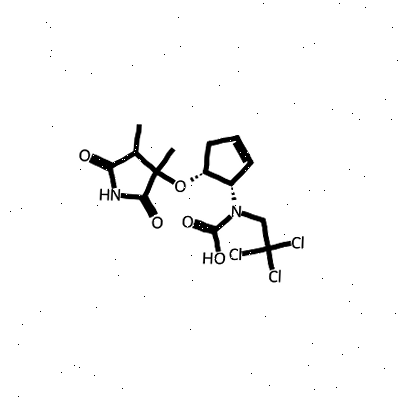 CC1C(=O)NC(=O)C1(C)O[C@@H]1CC=C[C@@H]1N(CC(Cl)(Cl)Cl)C(=O)O